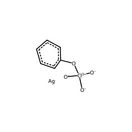 [Ag].[O-][Cl+3]([O-])([O-])Oc1ccccc1